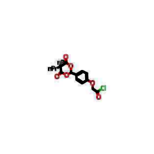 CCCC1(CCC)C(=O)OC(c2ccc(OCC(=O)Cl)cc2)OC1=O